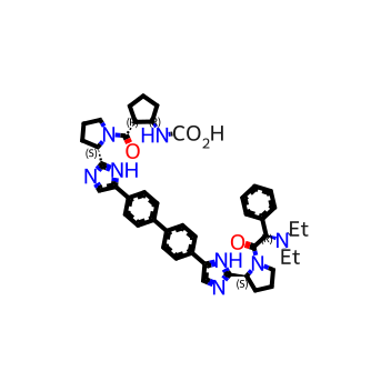 CCN(CC)[C@@H](C(=O)N1CCC[C@H]1c1ncc(-c2ccc(-c3ccc(-c4cnc([C@@H]5CCCN5C(=O)[C@@H]5CCC[C@H]5NC(=O)O)[nH]4)cc3)cc2)[nH]1)c1ccccc1